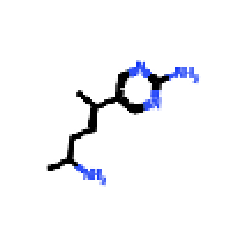 CC(=CCC(C)N)c1cnc(N)nc1